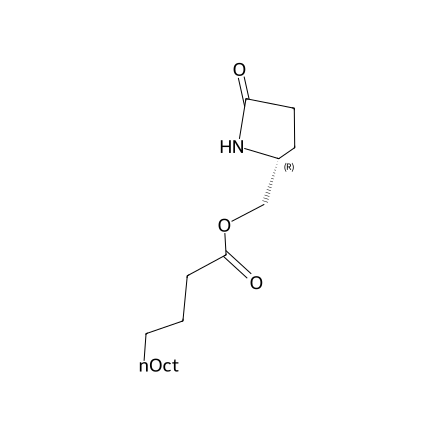 CCCCCCCCCCCC(=O)OC[C@H]1CCC(=O)N1